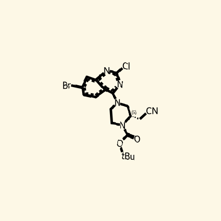 CC(C)(C)OC(=O)N1CCN(c2nc(Cl)nc3cc(Br)ccc23)C[C@@H]1CC#N